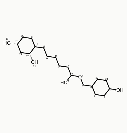 OC1CCC(COC(O)CCCCCC2CC[C@@H](O)C[C@H]2O)CC1